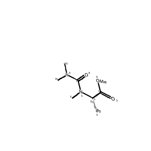 COC(=O)[C@H](C(C)C)N(C)C(=O)N(C)C